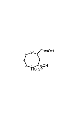 CCCCCCCCCC1CCCCCCS1.O=S(=O)(O)O